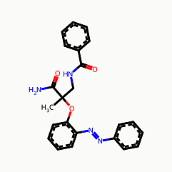 CC(CNC(=O)c1ccccc1)(Oc1ccccc1N=Nc1ccccc1)C(N)=O